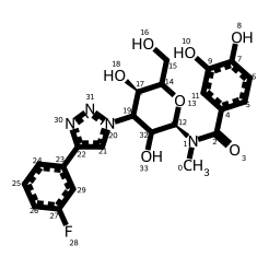 CN(C(=O)c1ccc(O)c(O)c1)[C@@H]1OC(CO)[C@H](O)C(n2cc(-c3cccc(F)c3)nn2)C1O